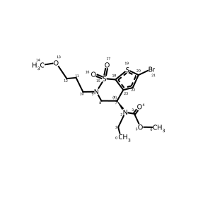 CCN(C(=O)OC)[C@H]1CN(CCCOC)S(=O)(=O)c2sc(Br)cc21